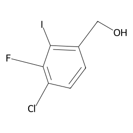 OCc1ccc(Cl)c(F)c1I